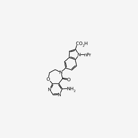 CCCn1c(C(=O)O)cc2cc(N3CCOc4ncnc(N)c4C3=O)ccc21